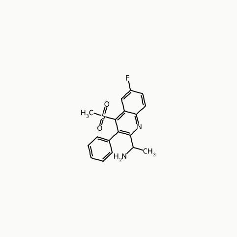 CC(N)c1nc2ccc(F)cc2c(S(C)(=O)=O)c1-c1ccccc1